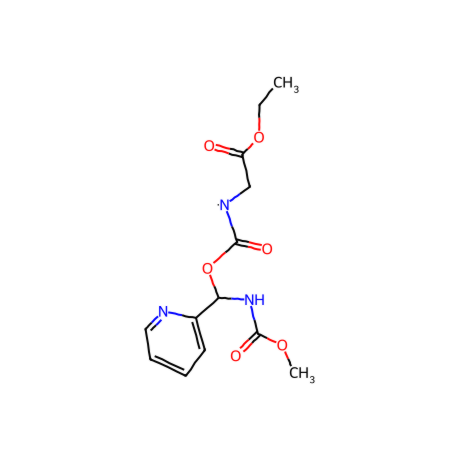 CCOC(=O)C[N]C(=O)OC(NC(=O)OC)c1ccccn1